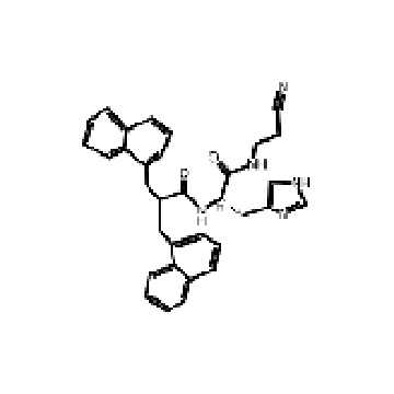 N#CCCNC(=O)[C@H](Cc1c[nH]cn1)NC(=O)C(Cc1cccc2ccccc12)Cc1cccc2ccccc12